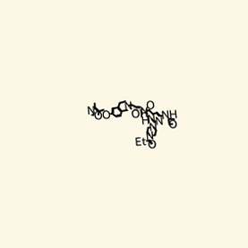 CCC(=O)N1CCN(c2nc(NC3COC3)cc(C(=O)NC[C@H](O)CN3CCc4cc(OCc5ocnc5C)ccc4C3)n2)CC1